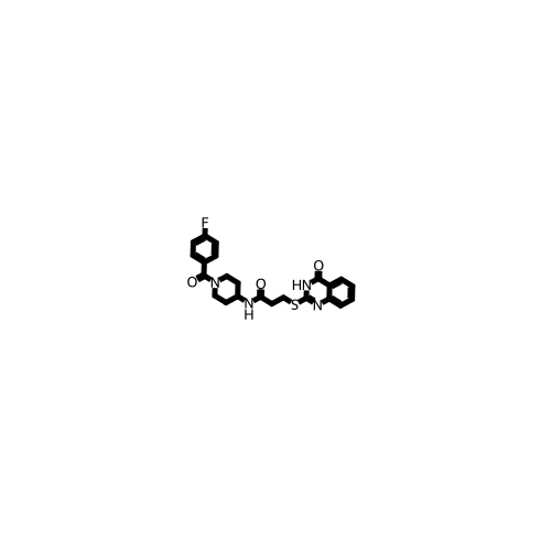 O=C(CCSc1nc2ccccc2c(=O)[nH]1)NC1CCN(C(=O)c2ccc(F)cc2)CC1